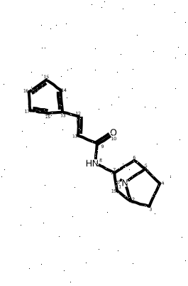 CN1C2CCC1CC(NC(=O)C=Cc1ccccc1)C2